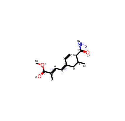 C=C/C(=C\C=C(/C)C(=O)OC)CC(C)CC(N)=O